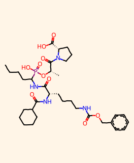 CCCCC(NC(=O)[C@H](CCCCNC(=O)OCc1ccccc1)NC(=O)C1CCCCC1)P(=O)(O)O[C@@H](C)C(=O)N1CCC[C@H]1C(=O)O